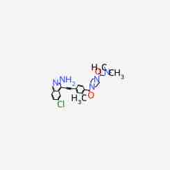 Cc1cc(C#Cc2c(N)ncc3ccc(Cl)cc23)ccc1C(=O)N1CCN(C(=O)CN(C)C)CC1